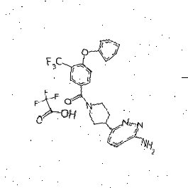 Nc1ccc(C2CCN(C(=O)c3ccc(Oc4ccccc4)c(C(F)(F)F)c3)CC2)nn1.O=C(O)C(F)(F)F